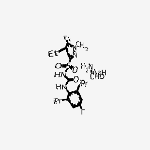 CCc1c(S(=O)(=O)NC(=O)Nc2c(C(C)C)cc(F)cc2C(C)C)nn(C)c1CC.NC=O.[NaH]